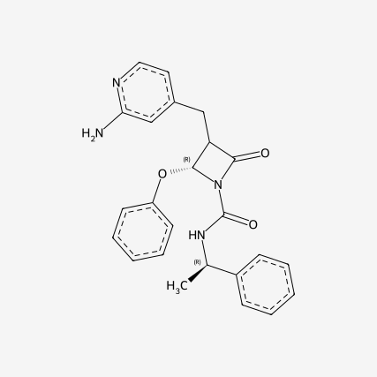 C[C@@H](NC(=O)N1C(=O)C(Cc2ccnc(N)c2)[C@H]1Oc1ccccc1)c1ccccc1